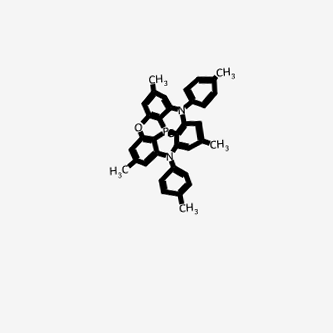 Cc1ccc(N2c3cc(C)cc4c3P3(=O)c5c(cc(C)cc5N(c5ccc(C)cc5)c5cc(C)cc2c53)O4)cc1